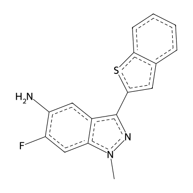 Cn1nc(-c2cc3ccccc3s2)c2cc(N)c(F)cc21